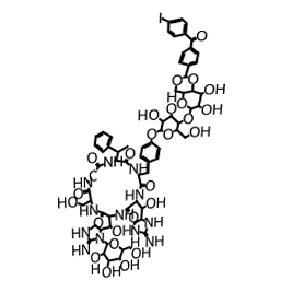 CC(c1ccccc1)C1NC(=O)CNC(=O)C(CO)NC(=O)C(C(O)C2CNC(=N)N2C2OC(CO)C(O)C(O)C2O)NC(=O)C(C(O)C2CNC(=N)N2)NC(=O)C(Cc2ccc(OC3OC(CO)C(OC4OC5COC(c6ccc(C(=O)c7ccc(I)cc7)cc6)OC5C(O)C4O)C(O)C3O)cc2)NC1=O